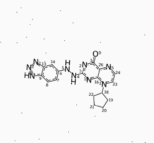 O=c1nc(NNc2ccc3[nH]nnc3c2)nc2n(C3CCCC3)ccnc1-2